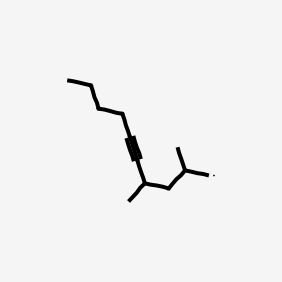 [CH2]C(C)CC(C)C#CCCCC